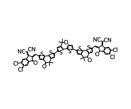 CC1(C)Oc2cc(-c3cc4c(s3)-c3sc(/C=C5\C(=O)c6cc(Cl)c(Cl)cc6C5=C(C#N)C#N)cc3C(=O)C4(C)C)sc2-c2sc(-c3cc4c(s3)-c3sc(/C=C5\C(=O)c6cc(Cl)c(Cl)cc6C5=C(C#N)C#N)cc3C(=O)C4(C)C)cc21